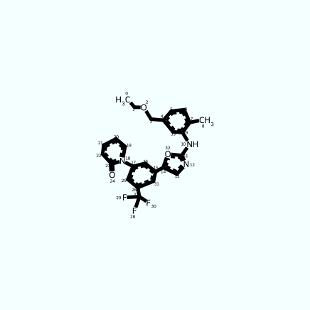 CCOCc1ccc(C)c(Nc2ncc(-c3cc(-n4ccccc4=O)cc(C(F)(F)F)c3)o2)c1